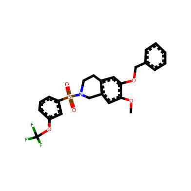 COc1cc2c(cc1OCc1ccccc1)CCN(S(=O)(=O)c1cccc(OC(F)(F)F)c1)C2